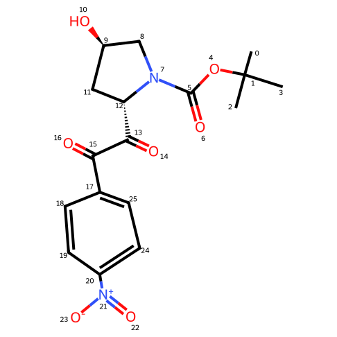 CC(C)(C)OC(=O)N1C[C@H](O)C[C@H]1C(=O)C(=O)c1ccc([N+](=O)[O-])cc1